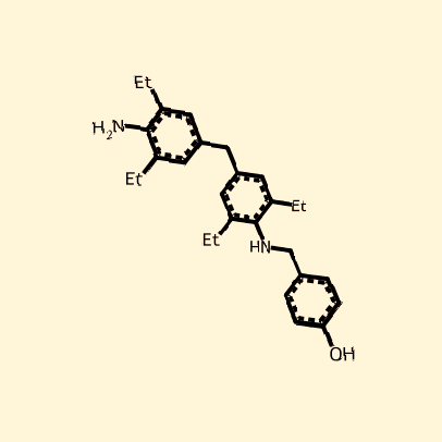 CCc1cc(Cc2cc(CC)c(NCc3ccc(O)cc3)c(CC)c2)cc(CC)c1N